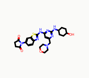 O=C1CCC(=O)N1c1ccc2nc(Nc3cc(CN4CCOCC4)nc(NC4CCC(O)CC4)n3)sc2c1